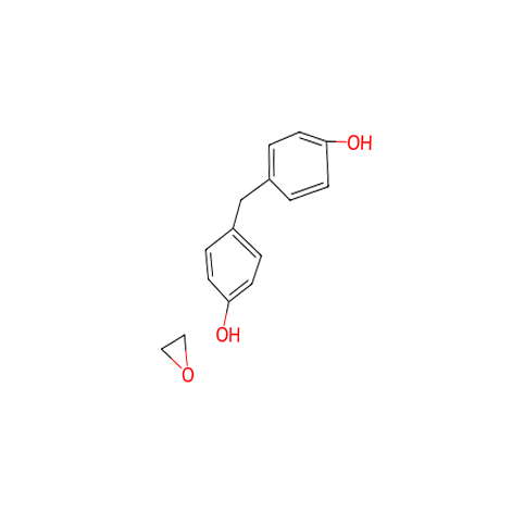 C1CO1.Oc1ccc(Cc2ccc(O)cc2)cc1